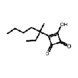 CCCCC(C)(CC)c1c(O)c(=O)c1=O